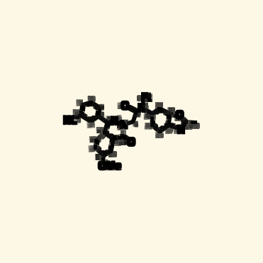 CCN(C(=O)Cn1nc(-c2cccc(C#N)c2)c2ccc(OC)cc2c1=O)c1ccc2nc(C)oc2c1